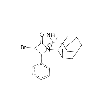 NC(=O)C12CC3CC(CC(C3)C1N1C(=O)C(Br)C1c1ccccc1)C2